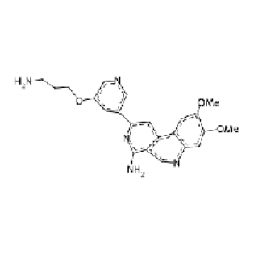 COc1cc2ncc3c(N)nc(-c4cncc(OCCCN)c4)cc3c2cc1OC